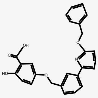 O=C(O)c1cc(OCc2cccc(-c3cccc(OCc4ccccc4)n3)c2)ccc1O